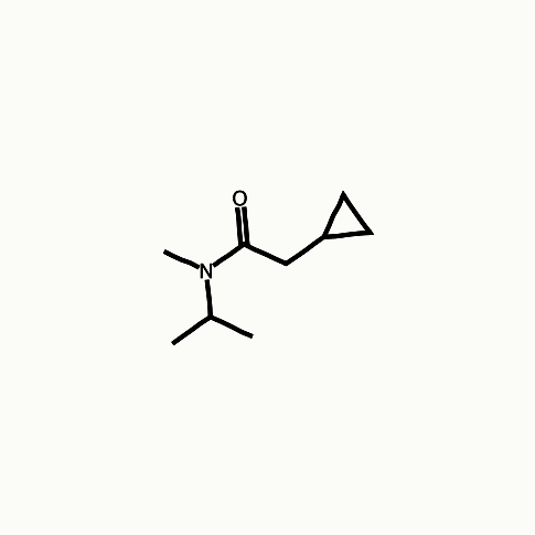 CC(C)N(C)C(=O)CC1CC1